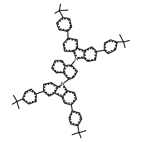 CC(C)(C)c1ccc(-c2ccc3c(c2)c2cc(-c4ccc(C(C)(C)C)cc4)ccc2n3-c2ccc(-n3c4ccc(-c5ccc(C(C)(C)C)cc5)cc4c4cc(-c5ccc(C(C)(C)C)cc5)ccc43)c3ccccc23)cc1